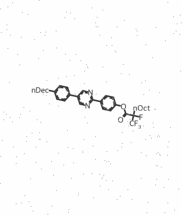 CCCCCCCCCCc1ccc(-c2cnc(-c3ccc(OC(=O)C(F)(CCCCCCCC)C(F)(F)F)cc3)nc2)cc1